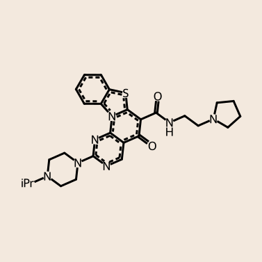 CC(C)N1CCN(c2ncc3c(=O)c(C(=O)NCCN4CCCC4)c4sc5ccccc5n4c3n2)CC1